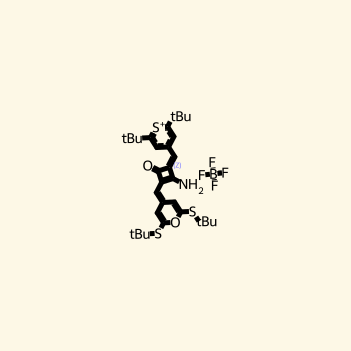 CC(C)(C)SC1=CC(=CC2=C(N)/C(=C/c3cc(C(C)(C)C)[s+]c(C(C)(C)C)c3)C2=O)C=C(SC(C)(C)C)O1.F[B-](F)(F)F